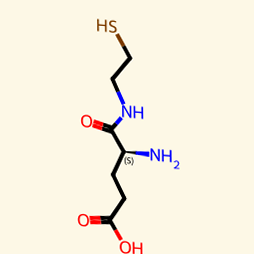 N[C@@H](CCC(=O)O)C(=O)NCCS